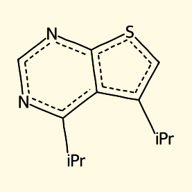 CC(C)c1csc2ncnc(C(C)C)c12